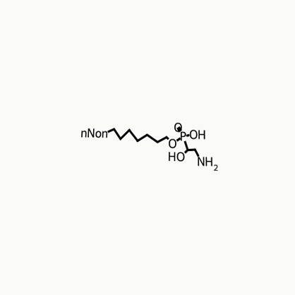 CCCCCCCCCCCCCCCCOP(=O)(O)C(O)CN